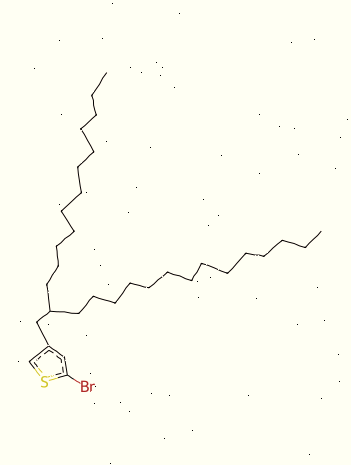 CCCCCCCCCCCCCCC(CCCCCCCCCCCC)Cc1csc(Br)c1